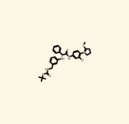 CSC1=[N+](c2ccc(NC(=O)[C@H](Nc3cccc(CNC(=O)OC(C)(C)C)c3)c3ccccc3)cc2Cl)CCC1